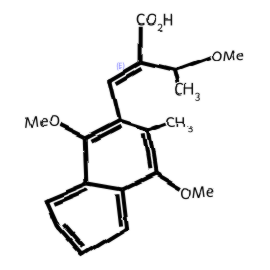 COc1c(C)c(/C=C(/C(=O)O)C(C)OC)c(OC)c2ccccc12